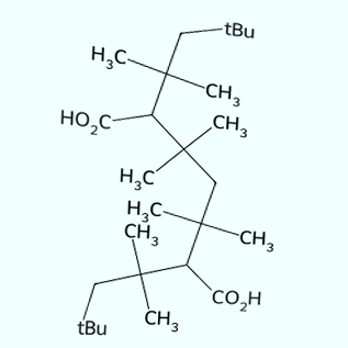 CC(C)(C)CC(C)(C)C(C(=O)O)C(C)(C)CC(C)(C)C(C(=O)O)C(C)(C)CC(C)(C)C